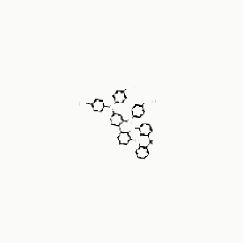 Cc1cc2c3c(c1)N1c4ccccc4C(C)(C)c4cccc(c41)B3N(c1ccc(C(C)(C)C)cc1)c1cc(N(c3ccc(C(C)(C)C)cc3)c3ccc(C(C)(C)C)cc3)ccc1-2